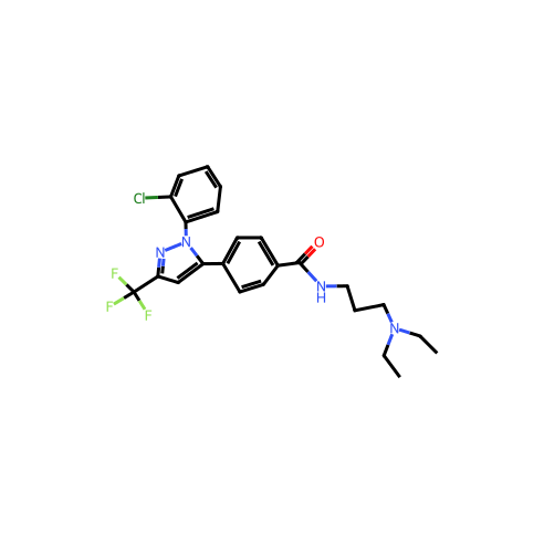 CCN(CC)CCCNC(=O)c1ccc(-c2cc(C(F)(F)F)nn2-c2ccccc2Cl)cc1